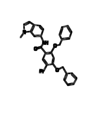 CC(C)c1cc(C(=O)Nc2ccc3ccn(C)c3c2)c(OCc2ccccc2)cc1OCc1ccccc1